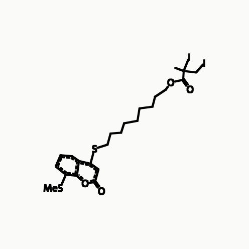 CSc1cccc2c(SCCCCCCCCCOC(=O)C(C)(I)CI)cc(=O)oc12